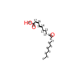 CCCCCCCC[C@H]1O[C@H]1CCC/C=C/C=C\C(=O)O